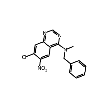 CN(Cc1ccccc1)c1ncnc2cc(Cl)c([N+](=O)[O-])cc12